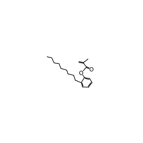 C=C(C)C(=O)Oc1ccccc1CCCCCCCCC